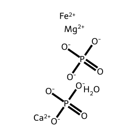 O.O=P([O-])([O-])[O-].O=P([O-])([O-])[O-].[Ca+2].[Fe+2].[Mg+2]